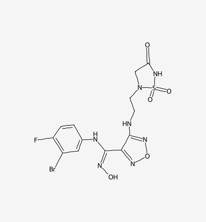 O=C1CN(CCNc2nonc2C(=NO)Nc2ccc(F)c(Br)c2)S(=O)(=O)N1